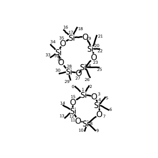 C[Si]1(C)O[Si](C)(C)O[Si](C)(C)O[Si](C)(C)O1.C[Si]1(C)O[Si](C)(C)O[Si](C)(C)O[Si](C)(C)O[Si](C)(C)O1